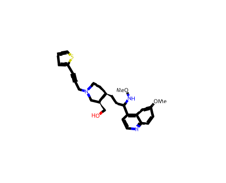 CONC(CC[C@@H]1CCN(CC#Cc2cccs2)C[C@@H]1CO)c1ccnc2ccc(OC)cc12